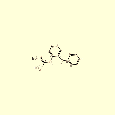 CCC=C(Oc1ccccc1Oc1ccccc1)C(=O)O